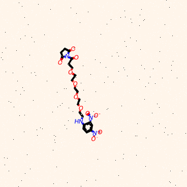 O=C(CCOCCOCCOCCOCCNc1ccc([N+](=O)[O-])cc1[N+](=O)[O-])N1C(=O)CCC1=O